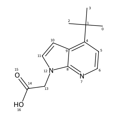 CC(C)(C)c1ccnc2c1ccn2CC(=O)O